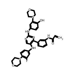 C=CC(=O)Nc1cccc(-c2nc(Nc3ccc(O)c(N4CCOCC4)c3)ncc2Nc2ccc(N3CCOCC3)c(F)c2)c1